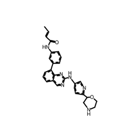 C/C=C/C(=O)Nc1cccc(-c2cccc3cnc(Nc4ccc(C5CNCCO5)nc4)nc23)c1